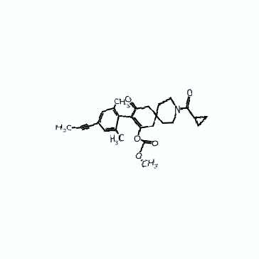 CC#Cc1cc(C)c(C2=C(OC(=O)OC)CC3(CCN(C(=O)C4CC4)CC3)CC2=O)c(C)c1